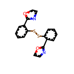 c1ccc(-c2ncco2)c(SSc2ccccc2-c2ncco2)c1